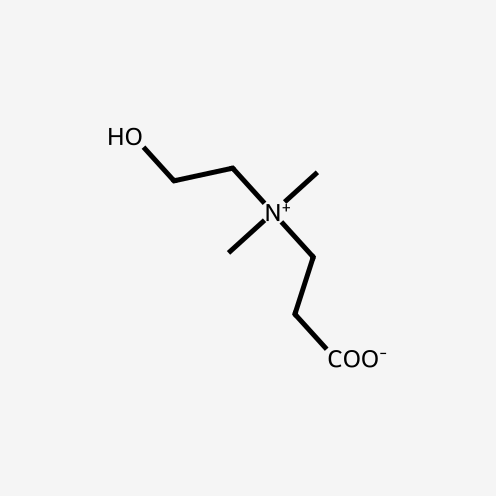 C[N+](C)(CCO)CCC(=O)[O-]